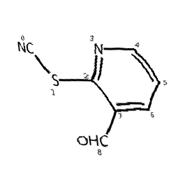 N#CSc1ncccc1C=O